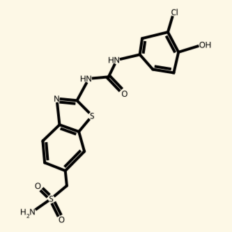 NS(=O)(=O)Cc1ccc2nc(NC(=O)Nc3ccc(O)c(Cl)c3)sc2c1